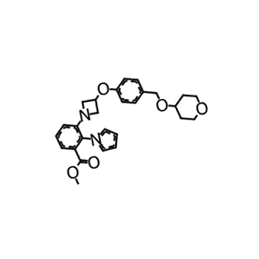 COC(=O)c1cccc(N2CC(Oc3ccc(COC4CCOCC4)cc3)C2)c1-n1cccc1